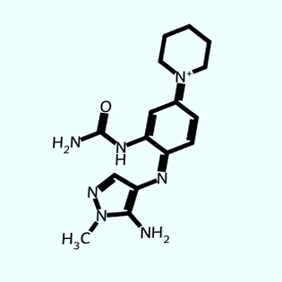 Cn1ncc(/N=C2/C=CC(=[N+]3CCCCC3)C=C2NC(N)=O)c1N